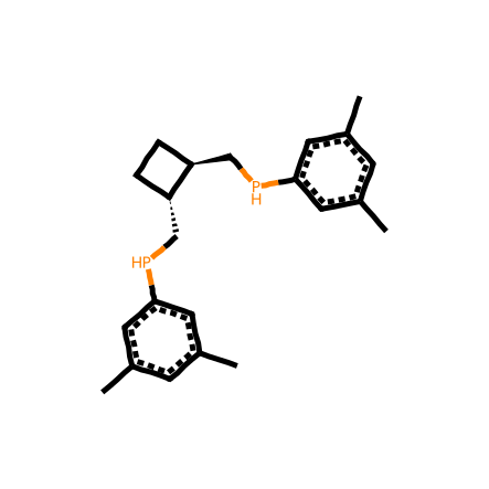 Cc1cc(C)cc(PC[C@@H]2CC[C@H]2CPc2cc(C)cc(C)c2)c1